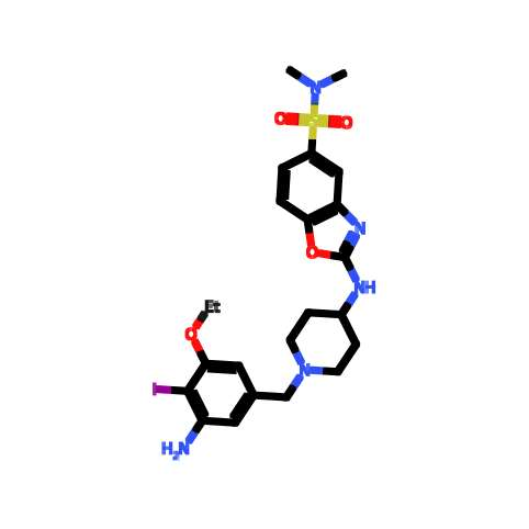 CCOc1cc(CN2CCC(Nc3nc4cc(S(=O)(=O)N(C)C)ccc4o3)CC2)cc(N)c1I